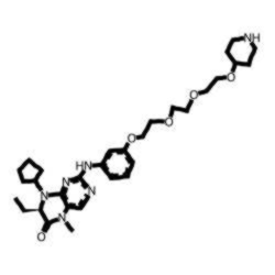 CC[C@@H]1C(=O)N(C)c2cnc(Nc3cccc(OCCOCCOCCOC4CCNCC4)c3)nc2N1C1CCCC1